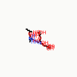 CCCCC(CC)COCC(O)CN(CCC)CCNCCNCCN(CC(O)COCCC[Si](O)(O)O)CC(O)COCCC[Si](O)(O)O